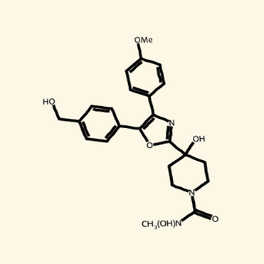 COc1ccc(-c2nc(C3(O)CCN(C(=O)N(C)O)CC3)oc2-c2ccc(CO)cc2)cc1